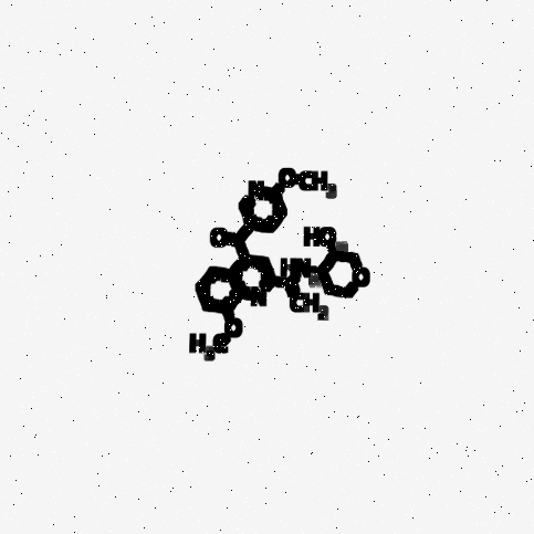 C=C(N[C@H]1CCOC[C@@H]1O)c1cc(C(=O)c2ccc(OC)nc2)c2cccc(OC)c2n1